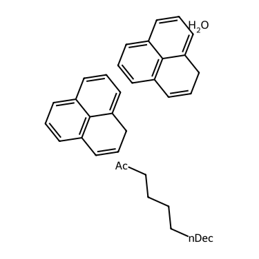 C1=Cc2cccc3cccc(c23)C1.C1=Cc2cccc3cccc(c23)C1.CCCCCCCCCCCCCCC(C)=O.O